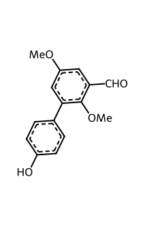 COc1cc(C=O)c(OC)c(-c2ccc(O)cc2)c1